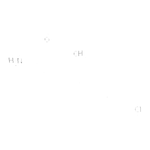 Cc1c(CCCCl)cccc1C(N)=O